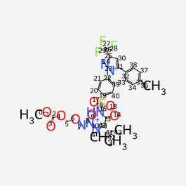 COC(=O)OCON=[N+]([O-])N(C)[C@H](C(=O)NS(=O)(=O)c1ccc(-n2nc(C(F)(F)F)cc2-c2ccc(C)cc2)cc1)C(C)C